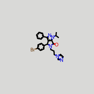 CC(C)n1nc(-c2ccccc2)c2c1C(=O)N(CCCn1ccnc1)C2c1ccc(Br)cc1